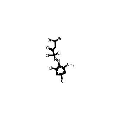 Cc1cc(Cl)cc(Cl)c1N=NC(Cl)(Cl)C(=O)CC(Br)Br